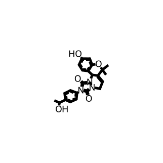 CC(O)c1ccc(-n2c(=O)n3n(c2=O)C2C(=CC3)C(C)(C)Oc3cc(O)ccc32)cc1